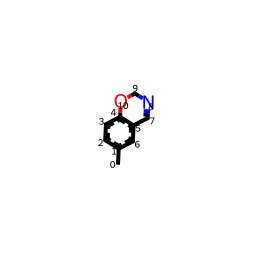 Cc1ccc2c(c1)C=NCO2